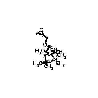 CCC(OCC1CO1)[Si]1(C)OC(C)(C)C[Si](C)(C)[Si]1(C)C